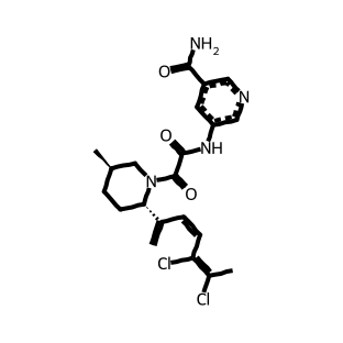 C=C(/C=C\C(Cl)=C(/C)Cl)[C@@H]1CC[C@@H](C)CN1C(=O)C(=O)Nc1cncc(C(N)=O)c1